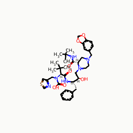 CC(C)(C)NC(=O)[C@@H]1CN(Cc2ccc3c(c2)OCO3)CCN1C[C@@H](O)[C@H](Cc1ccccc1)NC(=O)[C@@H](N(Cc1cscn1)C(=O)O)C(C)(C)C